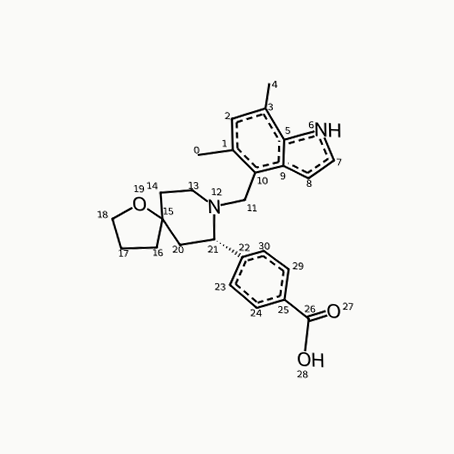 Cc1cc(C)c2[nH]ccc2c1CN1CCC2(CCCO2)C[C@H]1c1ccc(C(=O)O)cc1